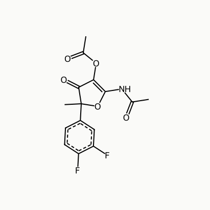 CC(=O)NC1=C(OC(C)=O)C(=O)C(C)(c2ccc(F)c(F)c2)O1